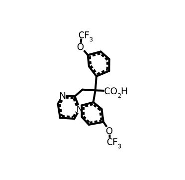 O=C(O)C(Cc1ncccn1)(c1cccc(OC(F)(F)F)c1)c1cccc(OC(F)(F)F)c1